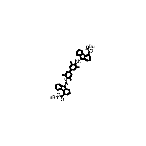 CCCCOC(=O)c1cccc2c1-c1ccccc1C2=NN=C1C(C)=CC(=C2C=C(C)C(=NN=C3c4ccccc4-c4c(C(=O)OCCCC)cccc43)C(C)=C2)C=C1C